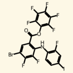 O=C(Oc1c(F)c(F)c(F)c(F)c1F)c1cc(Br)c(F)c(F)c1Nc1ccc(I)cc1F